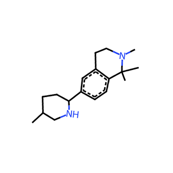 CC1CCC(c2ccc3c(c2)CCN(C)C3(C)C)NC1